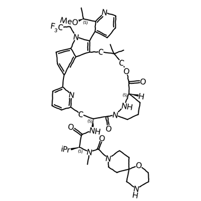 CO[C@@H](C)c1ncccc1-c1c2c3cc(ccc3n1CC(F)(F)F)-c1cccc(n1)C[C@H](NC(=O)[C@H](C(C)C)N(C)C(=O)N1CCC3(CC1)CNCCO3)C(=O)N1CCC[C@H](N1)C(=O)OCC(C)(C)C2